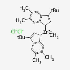 [CH2]=[Zr+2]([CH]1C=C(C(C)(C)C)c2cc(C)c(C)cc21)[CH]1C=C(C(C)(C)C)c2cc(C)c(C)cc21.[Cl-].[Cl-]